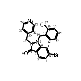 O=c1c2ccc(Br)cc2n(Cc2ccccc2Cl)n1Cc1ccncc1